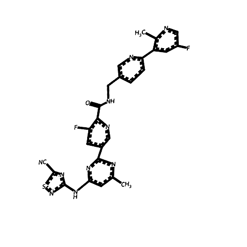 Cc1cc(Nc2nsc(C#N)n2)nc(-c2cnc(C(=O)NCc3ccc(-c4cc(F)cnc4C)nc3)c(F)c2)n1